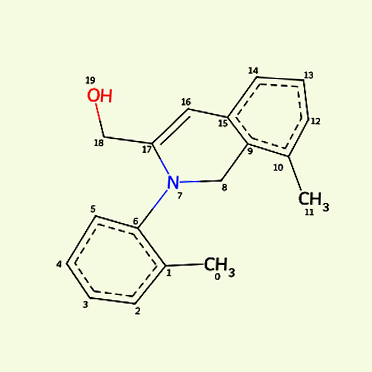 Cc1ccccc1N1Cc2c(C)cccc2C=C1CO